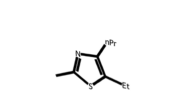 CCCc1nc(C)sc1CC